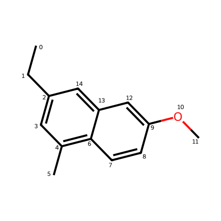 CCc1cc(C)c2ccc(OC)cc2c1